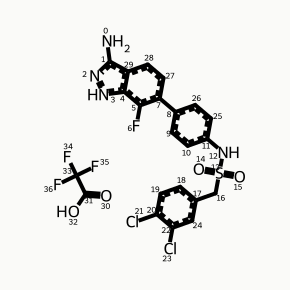 Nc1n[nH]c2c(F)c(-c3ccc(NS(=O)(=O)Cc4ccc(Cl)c(Cl)c4)cc3)ccc12.O=C(O)C(F)(F)F